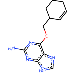 Nc1nc(OCC2C=CCCC2)c2nc[nH]c2n1